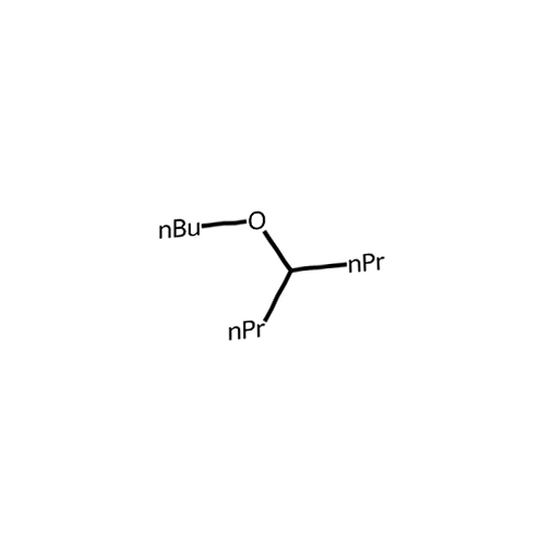 CCCCOC(CCC)CCC